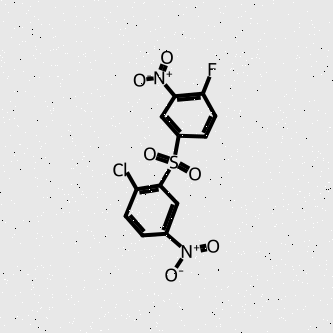 O=[N+]([O-])c1ccc(Cl)c(S(=O)(=O)c2ccc(F)c([N+](=O)[O-])c2)c1